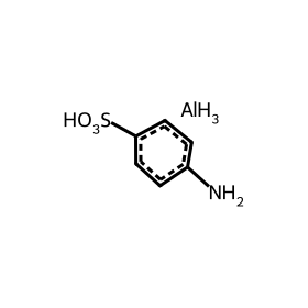 Nc1ccc(S(=O)(=O)O)cc1.[AlH3]